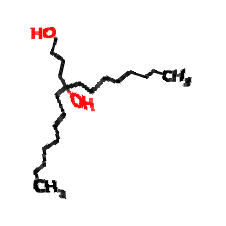 CCCCCCCCC(O)(CCCCO)CCCCCCCC